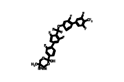 CCCCCC1(C)COC(O)(c2ccc(-c3cc(F)c(C(F)(F)Oc4ccc(-c5cc(F)c(C(F)(F)F)c(F)c5)c(F)c4)c(F)c3)c(F)c2)OC1